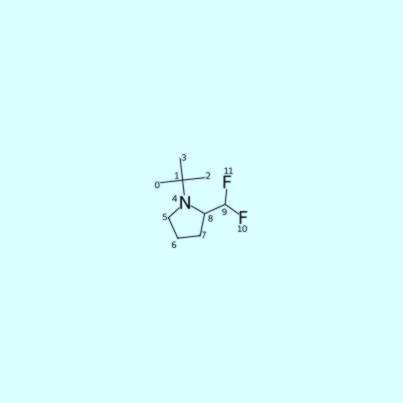 CC(C)(C)N1CCCC1C(F)F